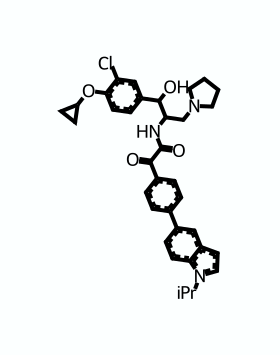 CC(C)n1ccc2cc(-c3ccc(C(=O)C(=O)NC(CN4CCCC4)C(O)c4ccc(OC5CC5)c(Cl)c4)cc3)ccc21